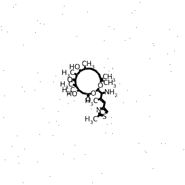 C/C(=C\c1csc(C)n1)C(N)C1OC(=O)CC(O)C(C)(C)C(=O)C(C)C(O)C(C)CCCC(C)(C)O1